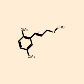 COc1ccc(OC)c(/C=C/CO[C]=O)c1